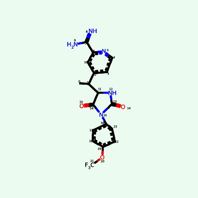 CC(c1ccnc(C(=N)N)c1)C1NC(=O)N(c2ccc(OC(F)(F)F)cc2)C1=O